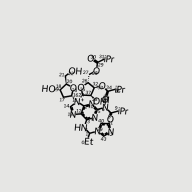 CCC(Nc1nc(NC(=O)C(C)C)nc2c1N=C[N+]2([C@@H]1C[C@H](O)[C@@H](CO)O1)[C@@H]1O[C@H](COC(=O)C(C)C)[C@@H](OC(=O)C(C)C)[C@H]1O)n1ccnc1